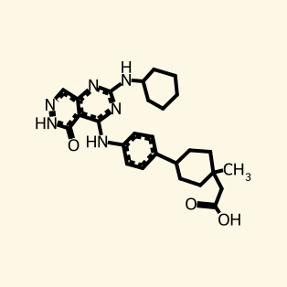 CC1(CC(=O)O)CCC(c2ccc(Nc3nc(NC4CCCCC4)nc4cn[nH]c(=O)c34)cc2)CC1